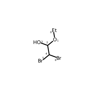 CCOC(O)C(Br)Br